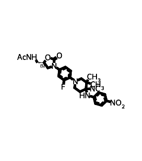 [C-]#[N+]C1(Nc2ccc([N+](=O)[O-])cc2)CCN(c2ccc(N3C[C@H](CNC(C)=O)OC3=O)cc2F)CC1(C)C